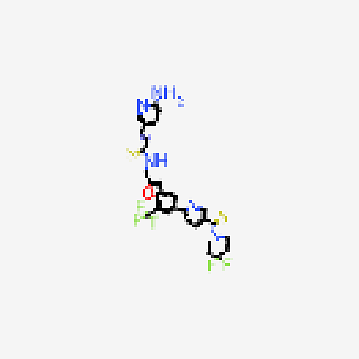 Nc1ccc(/C=C/C(=S)NCc2cc3cc(-c4ccc(C(=S)N5CCC(F)(F)CC5)cn4)cc(C(F)(F)F)c3o2)cn1